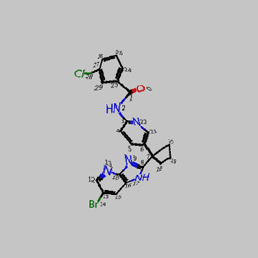 O=C(Nc1ccc(C2(c3nc4ncc(Br)cc4[nH]3)CCC2)cn1)c1cccc(Cl)c1